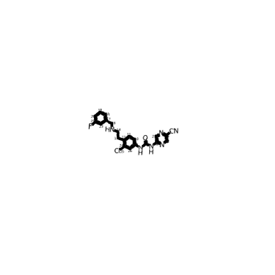 N#Cc1cnc(NC(=O)Nc2ccc(CCNCc3cccc(F)c3)c(Cl)c2)cn1